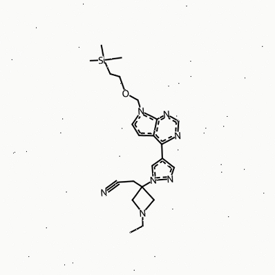 CCN1CC(CC#N)(n2cc(-c3ncnc4c3ccn4COCC[Si](C)(C)C)cn2)C1